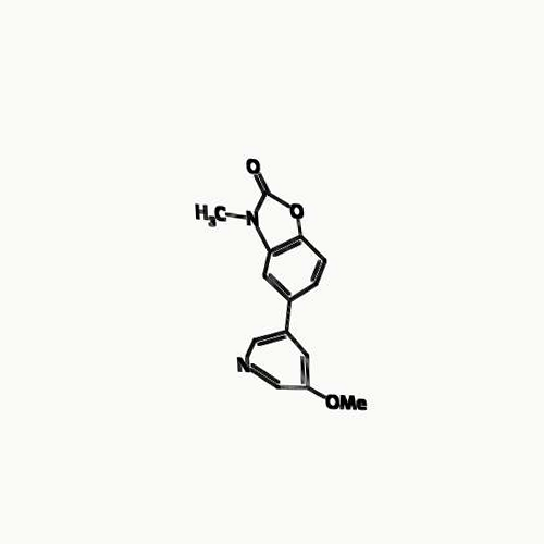 COc1cncc(-c2ccc3oc(=O)n(C)c3c2)c1